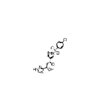 O=C(C=C(O)c1nc[nH]n1)c1cnn(S(=O)(=O)c2ccc(Cl)cc2)c1